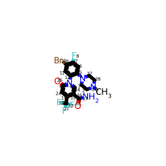 CN1CCN(c2cc(F)c(Br)cc2-n2cc(C(N)=O)c(C(F)(F)F)cc2=O)CC1